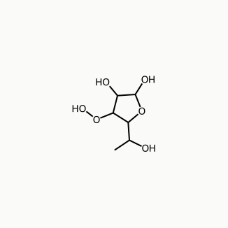 CC(O)C1OC(O)C(O)C1OO